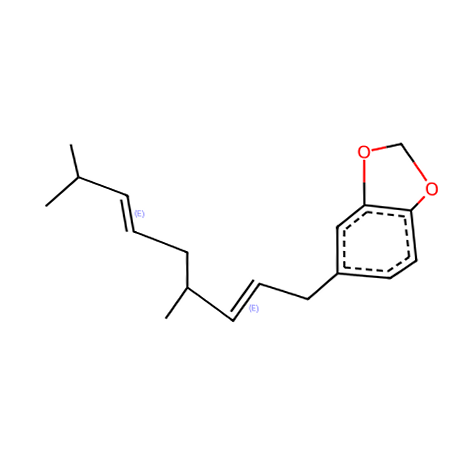 CC(C)/C=C/CC(C)/C=C/Cc1ccc2c(c1)OCO2